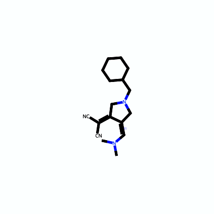 CN(C)/C=C1/CN(CC2CCCCC2)CC1=C(C#N)C#N